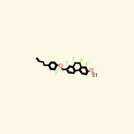 C=CCCc1ccc(OCc2ccc3c(c2F)C(F)C(F)c2c-3ccc(OCC)c2F)c(F)c1